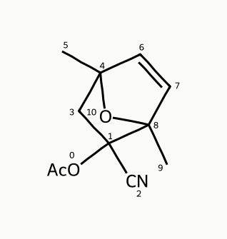 CC(=O)OC1(C#N)CC2(C)C=CC1(C)O2